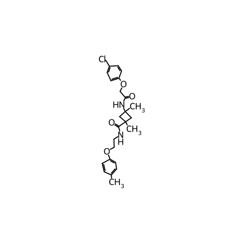 Cc1ccc(OCCNC(=O)C2(C)CC(C)(NC(=O)COc3ccc(Cl)cc3)C2)cc1